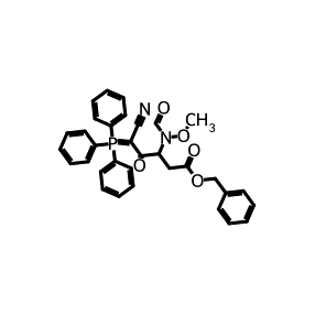 CON(C=O)C(CC(=O)OCc1ccccc1)C(=O)C(C#N)=P(c1ccccc1)(c1ccccc1)c1ccccc1